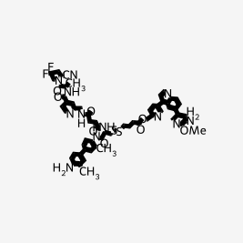 COc1ncc(-c2ccc3nccc(-c4ccc(COC(=O)CCCSSCC(NC(=O)CCC(=O)NCc5cc(C(=O)NC(C)C(=O)N6CC(F)(F)C[C@H]6C#N)ccn5)C(=O)Nc5ccc(-c6ccc(N)c(C)c6)cc5C)nc4)c3c2)cc1N